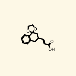 O=C(O)C=CC1Cc2ccccc2C2(C1)OCCO2